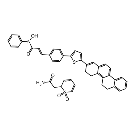 NC(=O)CC1C=CC=CS1(=O)=O.O=C(C=Cc1ccc(-c2ccc(C3=Cc4ccc5c(c4CC3)CCc3ccccc3-5)s2)cc1)N(O)c1ccccc1